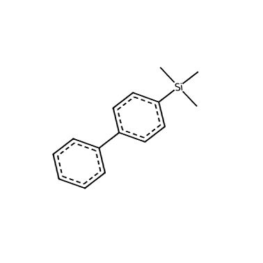 C[Si](C)(C)c1ccc(-c2ccccc2)cc1